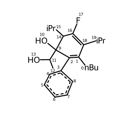 CCCCC1=C(c2ccccc2)C(O)(C(C)O)C(C(C)C)C(F)=C1C(C)C